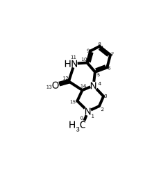 CN1CCN2c3cc[c]cc3NC(=O)C2C1